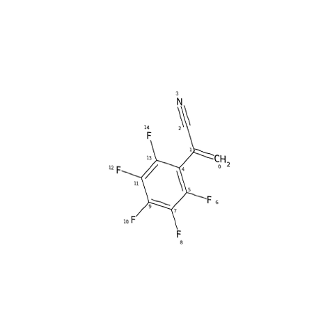 C=C(C#N)c1c(F)c(F)c(F)c(F)c1F